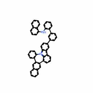 c1cc(-c2ccc3c(c2)c2cccc4c2n3-c2ccccc2-c2cc3ccccc3cc2-4)cc(-c2ccccc2Nc2cccc3ccccc23)c1